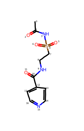 CC(=O)NS(=O)(=O)CCNC(=O)c1ccncc1